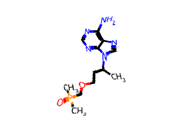 CC(CCOCP(C)(C)=O)n1cnc2c(N)ncnc21